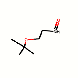 CC(C)(C)OCC[SiH]=O